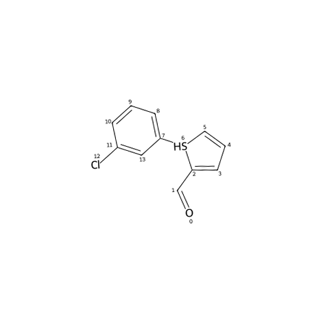 O=CC1=CC=C[SH]1c1cccc(Cl)c1